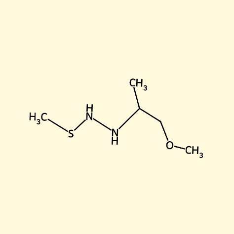 COCC(C)NNSC